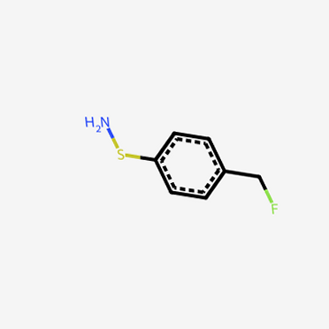 NSc1ccc(CF)cc1